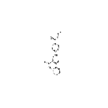 CCOC(=O)c1ccc(NC=C2C(=O)Oc3ccccc3C2=O)cc1